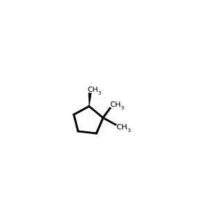 C[C@@H]1CCCC1(C)C